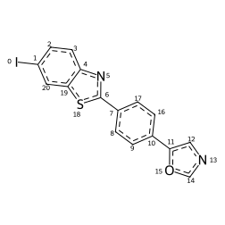 Ic1ccc2nc(-c3ccc(-c4cnco4)cc3)sc2c1